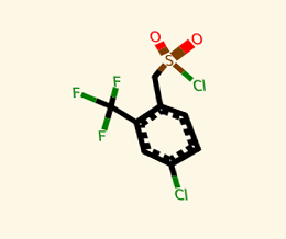 O=S(=O)(Cl)Cc1ccc(Cl)cc1C(F)(F)F